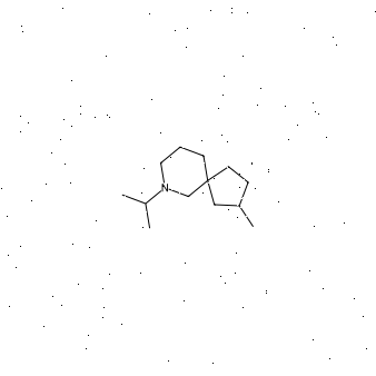 CC1CCC2(CCCN(C(C)C)C2)C1